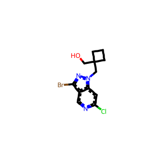 OCC1(Cn2nc(Br)c3cnc(Cl)cc32)CCC1